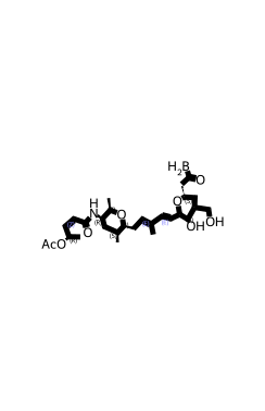 BC(=O)C[C@@H]1CC(CO)[C@H](O)C(/C=C/C(C)=C/C[C@@H]2O[C@H](C)[C@H](NC(=O)/C=C\[C@@H](C)OC(C)=O)C[C@@H]2C)O1